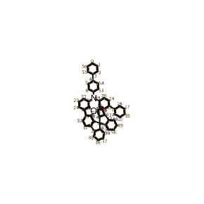 c1ccc(-c2ccc(N(c3ccc(-c4ccccc4)cc3)c3cccc4c3oc3c5c(ccc34)-c3ccccc3C53c4ccccc4-c4ccccc43)cc2)cc1